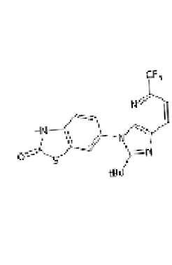 CC(C)(C)c1nc2ccc(C(F)(F)F)nc2n1-c1ccc2[nH]c(=O)sc2c1